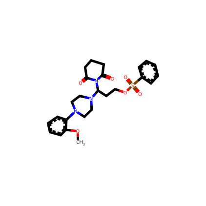 COc1ccccc1N1CCN(C(CCOS(=O)(=O)c2ccccc2)N2C(=O)CCCC2=O)CC1